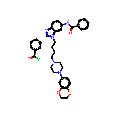 O=C(Cl)c1ccccc1.O=C(Nc1ccc2ncn(CCCCN3CCN(c4ccc5c(c4)OCCO5)CC3)c2c1)c1ccccc1